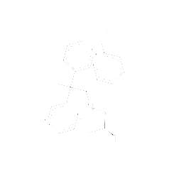 COc1cccc(C(N2CC[C@H](F)C2)C(O)(c2cccnc2)c2cccnc2)c1